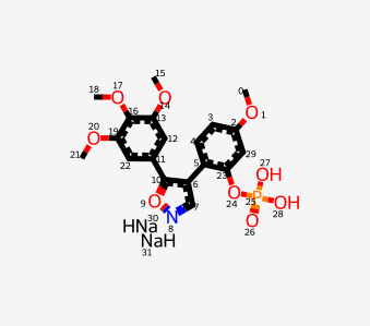 COc1ccc(-c2cnoc2-c2cc(OC)c(OC)c(OC)c2)c(OP(=O)(O)O)c1.[NaH].[NaH]